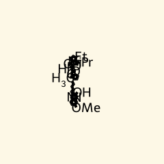 CC[C@@H]1CCN(C(=O)CNC(=O)OC2(C)CCC[C@H]2CCCCCc2nc3ccc(OC)cc3nc2O)C1C(=O)C(C)C